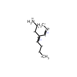 CCC/C=C(\C=N/C)CCN